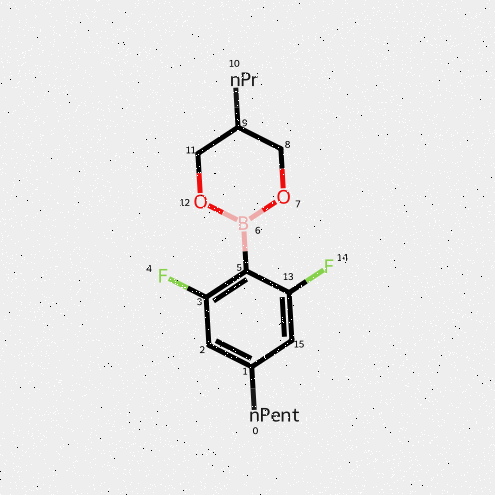 CCCCCc1cc(F)c(B2OCC(CCC)CO2)c(F)c1